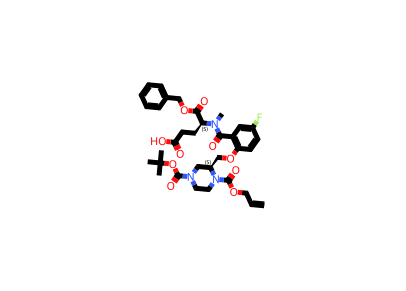 C=CCOC(=O)N1CCN(C(=O)OC(C)(C)C)C[C@H]1COc1ccc(F)cc1C(=O)N(C)[C@@H](CCC(=O)O)C(=O)OCc1ccccc1